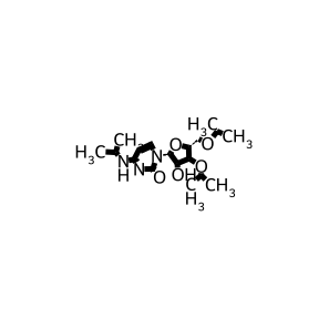 CC(C)Nc1ccn([C@@H]2O[C@H](COC(C)C)C(OC(C)C)C2O)c(=O)n1